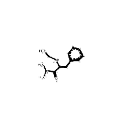 CCNC(Cc1ccccc1)C(=O)C(C)C